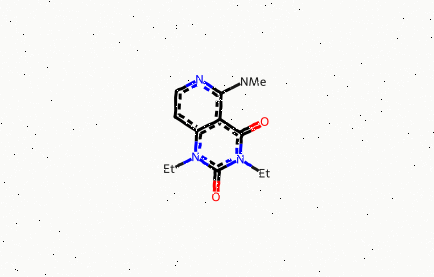 CCn1c(=O)c2c(NC)nccc2n(CC)c1=O